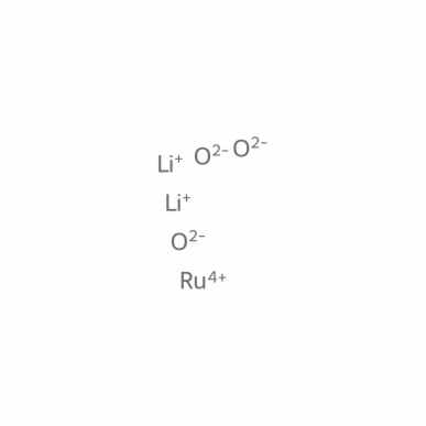 [Li+].[Li+].[O-2].[O-2].[O-2].[Ru+4]